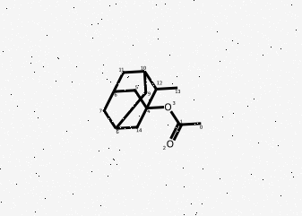 CC(=O)OC12CC3CC(CC(C3)C1C)C2